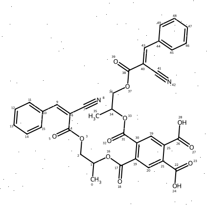 CC(COC(=O)C(C#N)=Cc1ccccc1)OC(=O)c1cc(C(=O)O)c(C(=O)O)cc1C(=O)OC(C)COC(=O)C(C#N)=Cc1ccccc1